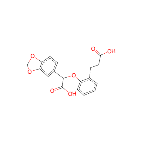 O=C(O)CCc1ccccc1OC(C(=O)O)c1ccc2c(c1)OCO2